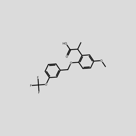 COc1ccc(OCc2cccc(OC(F)(F)F)c2)c(C(C)C(=O)O)c1